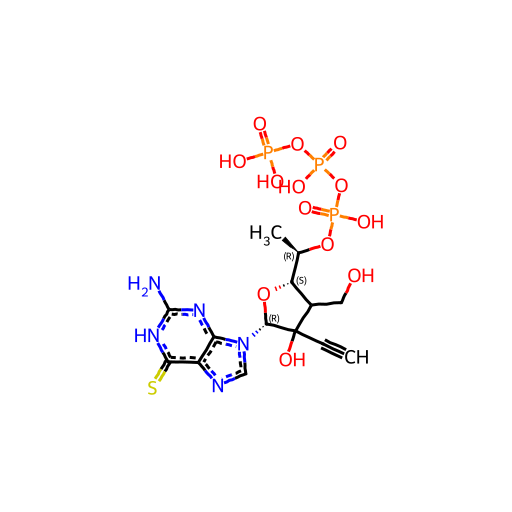 C#CC1(O)C(CO)[C@@H]([C@@H](C)OP(=O)(O)OP(=O)(O)OP(=O)(O)O)O[C@H]1n1cnc2c(=S)[nH]c(N)nc21